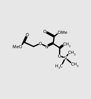 C=C(O[Si](C)(C)C)C(=NOCC(=O)OC)C(=O)OC